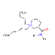 CCCCCCCCCCCCCC[N+]1(CCCS(=O)(=O)O)CCCC(C(=O)N(CC)CC)C1